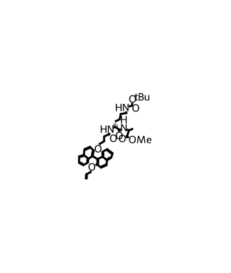 C=CCOc1ccc2ccccc2c1-c1c(OCCCC(=O)N[C@H](CCCCNC(=O)OC(C)(C)C)C(=O)NC(C)C(=O)OC)ccc2ccccc12